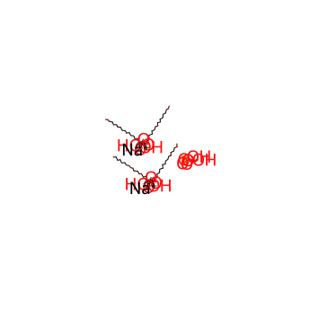 CCCCCCCCCCCCCCCCCC(=O)C(O)(C(=O)CCCCCCCCCCCCCCCCC)[C@@H](CO)[O][Na+].CCCCCCCCCCCCCCCCCC(=O)C(O)(C(=O)CCCCCCCCCCCCCCCCC)[C@@H](CO)[O][Na+].O=P([O-])([O-])OCC(O)CO